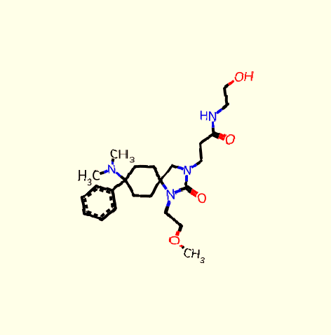 COCCN1C(=O)N(CCC(=O)NCCO)CC12CCC(c1ccccc1)(N(C)C)CC2